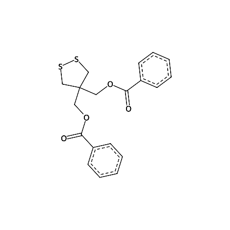 O=C(OCC1(COC(=O)c2ccccc2)CSSC1)c1ccccc1